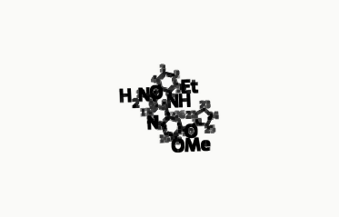 CCc1ccccc1Nc1c(C(N)=O)cnc2cc(OC)c(OC3CCCC3)cc12